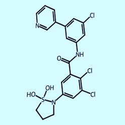 O=C(Nc1cc(Cl)cc(-c2cccnc2)c1)c1cc(N2CCCS2(O)O)cc(Cl)c1Cl